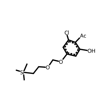 CC(=O)c1c(O)cc(OCOCC[Si](C)(C)C)cc1Cl